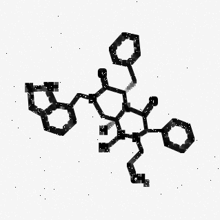 C=CCN1C(c2ccccc2)C(=O)N2[C@@H](Cc3ccccc3)C(=O)N(Cc3cccc4cn[nH]c34)C[C@@H]2N1CC